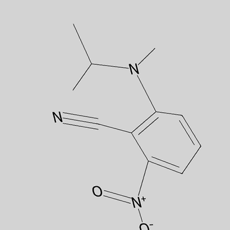 CC(C)N(C)c1cccc([N+](=O)[O-])c1C#N